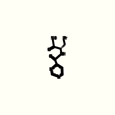 CC(C)C[C@H](NC(=O)c1ccncn1)C([NH])=O